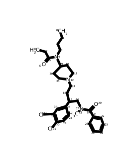 CCCCN(C(=O)CC)C1CCN(CCC(CN(C)C(=O)c2ccccc2)c2ccc(Cl)c(Cl)c2)CC1